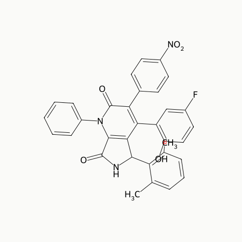 Cc1cccc(C)c1C1NC(=O)c2c1c(-c1cc(F)ccc1O)c(-c1ccc([N+](=O)[O-])cc1)c(=O)n2-c1ccccc1